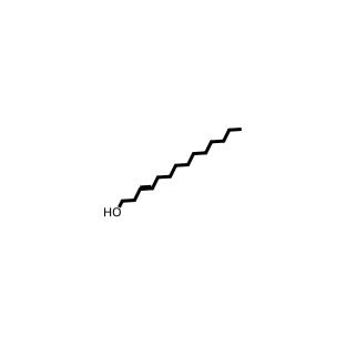 CCCCCCCCCC/C=C/CCO